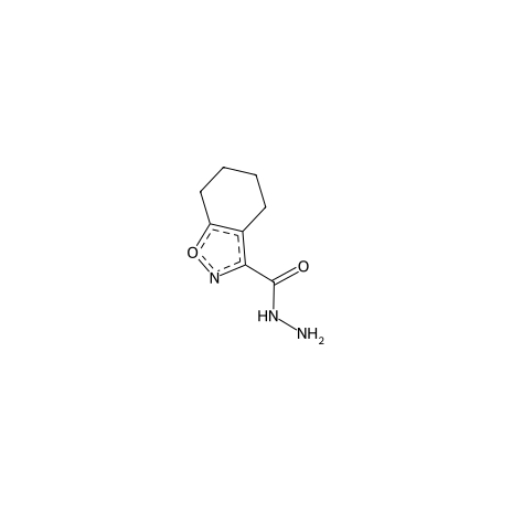 NNC(=O)c1noc2c1CCCC2